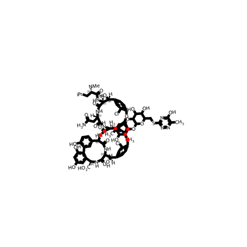 CN[C@@H](CC(C)C)C(=O)N[C@H]1C(=O)N[C@@H](CC(N)=O)C(=O)N[C@H]2C(=O)N[C@H]3C(=O)N[C@H](C(=O)N[C@@H](C(=O)O)c4cc(O)cc(O)c4-c4cc3ccc4O)[C@H](O)c3ccc(c(Cl)c3)Oc3cc2cc(c3OC2OC(CSc3nnc(C)c(O)n3)C(O)C(O)C2OC2CC(C)(N)C(O)C(C)O2)Oc2ccc(cc2Cl)[C@H]1O